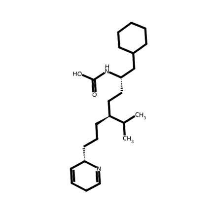 CC(C)[C@@H](CCC[C@H]1C=CCC=N1)CC[C@@H](CC1CCCCC1)NC(=O)O